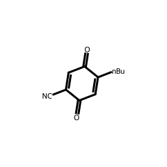 CCCCC1=CC(=O)C(C#N)=CC1=O